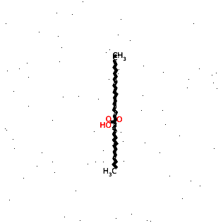 CCCCCCCCC=CCCCCCCCCCCCC(=O)C(CCCCCCC=CCCCCCCCC)C(=O)O